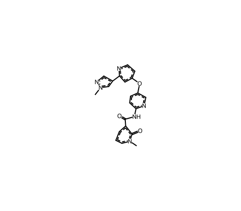 Cn1cc(-c2cc(Oc3ccc(NC(=O)c4cccn(C)c4=O)nc3)ccn2)cn1